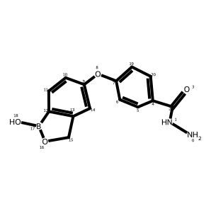 NNC(=O)c1ccc(Oc2ccc3c(c2)COB3O)cc1